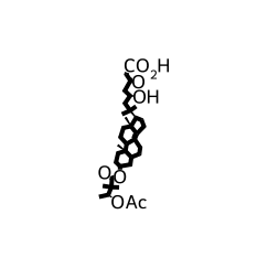 CC(=O)O[C@H](C)C(C)(C)C(=O)OC1CC[C@@]2(C)C(CCC3=C4CC[C@H](C(C)(C)C[C@@H](O)CC(=O)CC(=O)O)[C@@]4(C)CCC32)C1